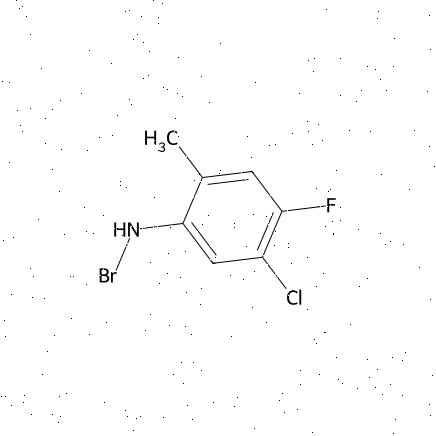 Cc1cc(F)c(Cl)cc1NBr